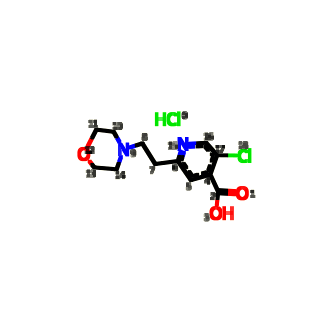 Cl.O=C(O)c1cc(CCN2CCOCC2)ncc1Cl